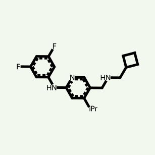 CC(C)c1cc(Nc2cc(F)cc(F)c2)ncc1CNCC1CCC1